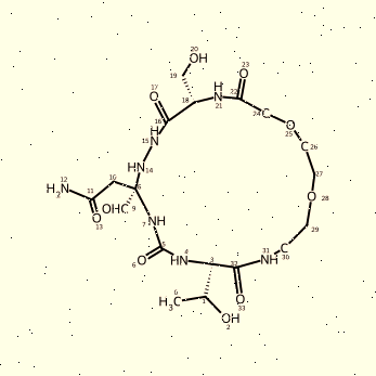 CC(O)[C@@H]1NC(=O)N[C@@](C=O)(CC(N)=O)NNC(=O)[C@H](CO)NC(=O)COCCOCCNC1=O